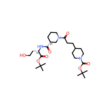 CC(C)(C)OC(=O)[C@H](CCO)NC(=O)[C@@H]1CCCN(C(=O)CCC2CCN(C(=O)OC(C)(C)C)CC2)C1